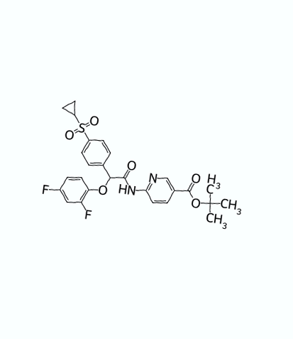 CC(C)(C)OC(=O)c1ccc(NC(=O)C(Oc2ccc(F)cc2F)c2ccc(S(=O)(=O)C3CC3)cc2)nc1